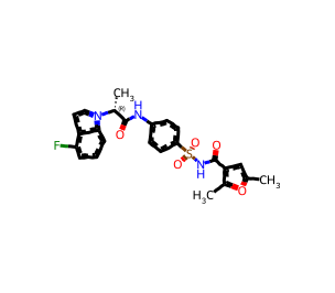 Cc1cc(C(=O)NS(=O)(=O)c2ccc(NC(=O)[C@@H](C)n3ccc4c(F)cccc43)cc2)c(C)o1